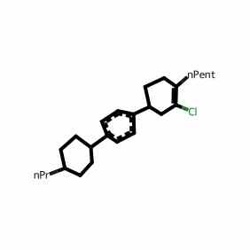 CCCCCC1=C(Cl)CC(c2ccc(C3CCC(CCC)CC3)cc2)CC1